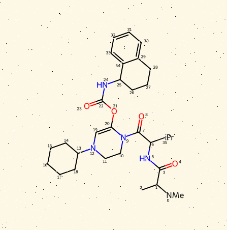 CNC(C)C(=O)NC(C(=O)N1CCN(C2CCCCC2)C=C1OC(=O)NC1CCCc2ccccc21)C(C)C